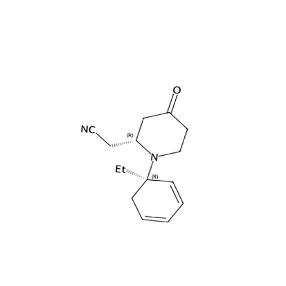 CC[C@]1(N2CCC(=O)C[C@H]2CC#N)C=CC=CC1